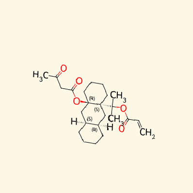 C=CC(=O)OC(C)(C)[C@@]12CCCC[C@@]1(OC(=O)CC(C)=O)C[C@@H]1CCCC[C@@H]1C2